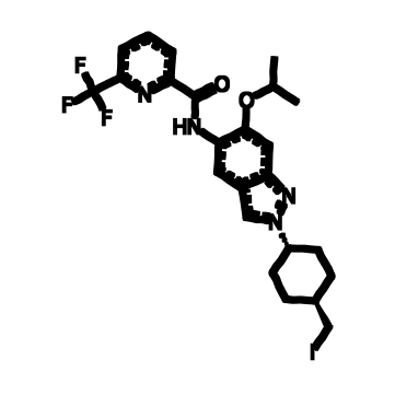 CC(C)Oc1cc2nn([C@H]3CC[C@H](CI)CC3)cc2cc1NC(=O)c1cccc(C(F)(F)F)n1